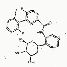 CC[C@H]1O[C@@H](c2ccncc2NC(=O)c2ccc(F)c(-c3c(F)cccc3F)n2)C[C@@H](O)[C@H]1C#N